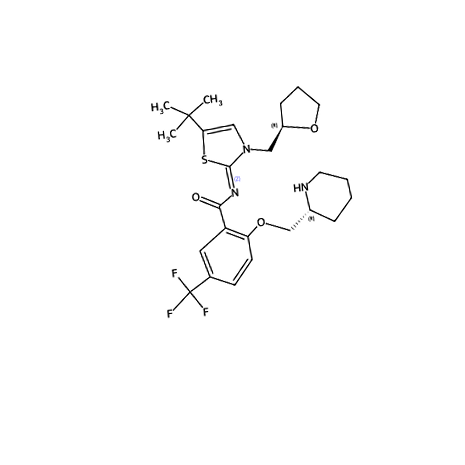 CC(C)(C)c1cn(C[C@H]2CCCO2)/c(=N/C(=O)c2cc(C(F)(F)F)ccc2OC[C@H]2CCCCN2)s1